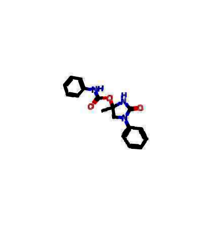 CC1(OC(=O)Nc2ccccc2)CN(c2ccccc2)C(=O)N1